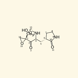 C[C@]1(C(=O)C(C[C@@H]2CCNC2=O)NC(=O)O)CO1